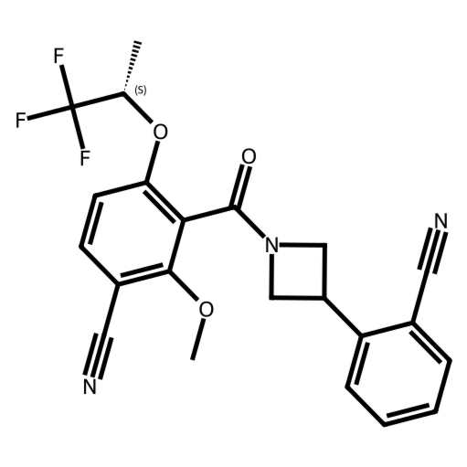 COc1c(C#N)ccc(O[C@@H](C)C(F)(F)F)c1C(=O)N1CC(c2ccccc2C#N)C1